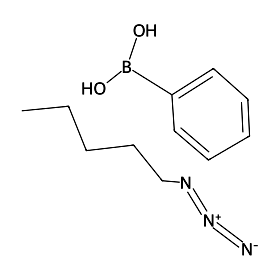 CCCCCN=[N+]=[N-].OB(O)c1ccccc1